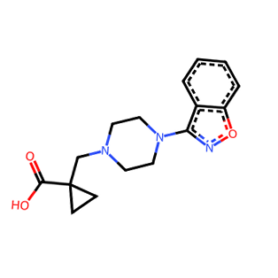 O=C(O)C1(CN2CCN(c3noc4ccccc34)CC2)CC1